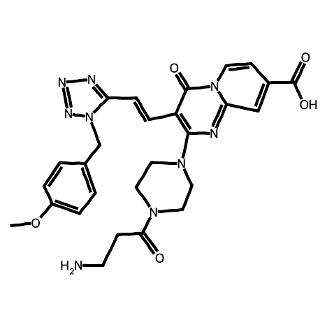 COc1ccc(Cn2nnnc2C=Cc2c(N3CCN(C(=O)CCN)CC3)nc3cc(C(=O)O)ccn3c2=O)cc1